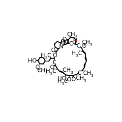 CO[C@H]1C[C@@H]2CCC(C)C(=O)C(O)(O2)C(=O)N2CCCCC2C(=O)O[C@H]([C@H](C)C[C@@H]2CCC(O)[C@H](OC)C2)CC(=O)[C@H](C)/C=C(\C)C(O)[C@@H](OC)C(=O)C(C)C[C@H](C)/C=C/C=C/C=C/1C